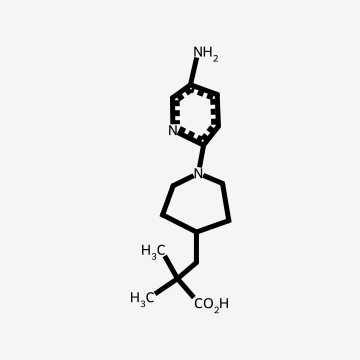 CC(C)(CC1CCN(c2ccc(N)cn2)CC1)C(=O)O